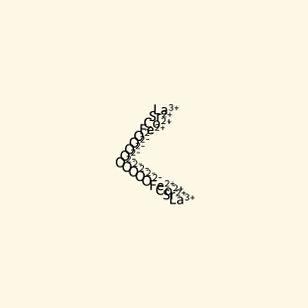 [Co+2].[Co+2].[Fe+2].[Fe+2].[La+3].[La+3].[O-2].[O-2].[O-2].[O-2].[O-2].[O-2].[O-2].[O-2].[O-2].[Sr+2].[Sr+2]